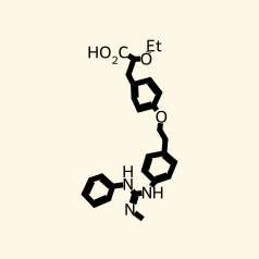 CCOC(Cc1ccc(OCCc2ccc(N/C(=N\C)Nc3ccccc3)cc2)cc1)C(=O)O